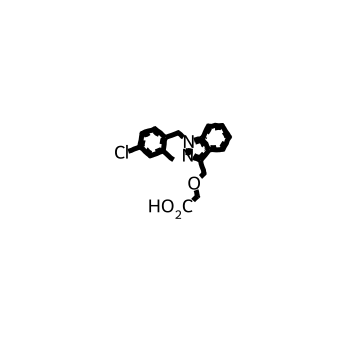 Cc1cc(Cl)ccc1Cn1nc(COCC(=O)O)c2ccccc21